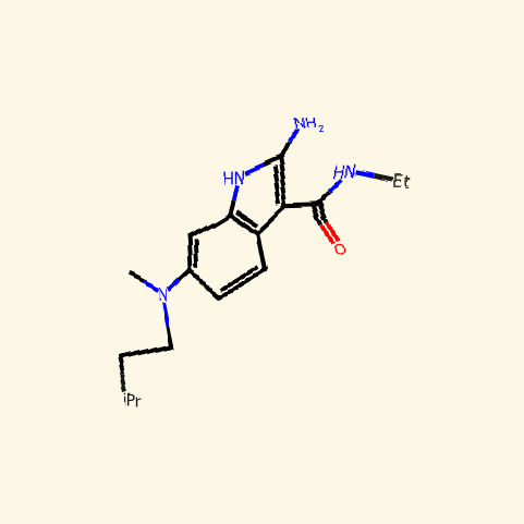 CCNC(=O)c1c(N)[nH]c2cc(N(C)CCC(C)C)ccc12